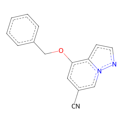 N#Cc1cc(OCc2ccccc2)c2ccnn2c1